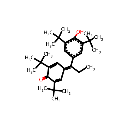 CCC(=C1C=C(C(C)(C)C)C(=O)C(C(C)(C)C)=C1)c1cc(C(C)(C)C)c(O)c(C(C)(C)C)c1